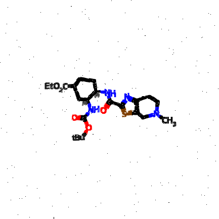 CCOC(=O)C1CC[C@@H](NC(=O)c2nc3c(s2)CN(C)CC3)[C@@H](NC(=O)OC(C)(C)C)C1